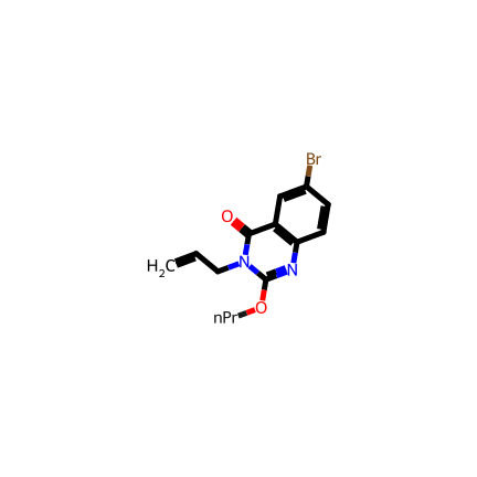 C=CCn1c(OCCC)nc2ccc(Br)cc2c1=O